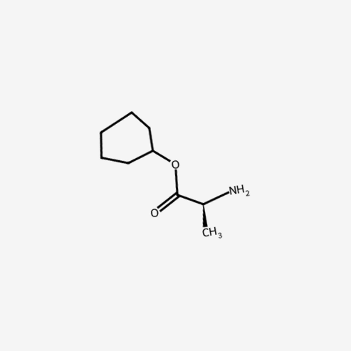 C[C@H](N)C(=O)OC1CCCCC1